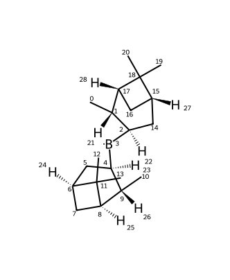 C[C@H]1[C@H]([B][C@@H]2C[C@@H]3C[C@H]([C@H]2C)C3(C)C)C[C@@H]2C[C@H]1C2(C)C